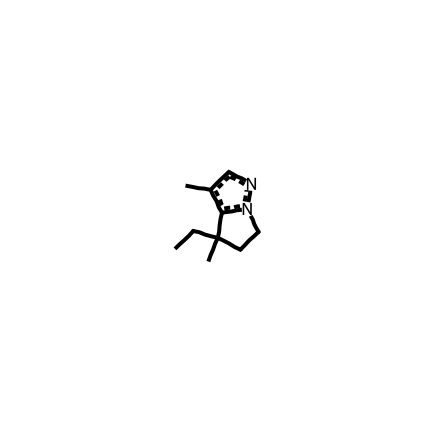 CCC1(C)CCn2ncc(C)c21